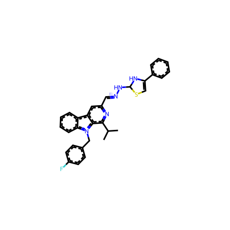 CC(C)c1nc(/C=N/NC2NC(c3ccccc3)=CS2)cc2c3ccccc3n(Cc3ccc(F)cc3)c12